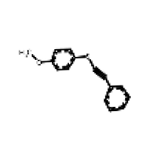 COc1ccc(SC#Cc2ccccc2)cc1